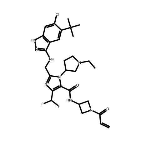 C=CC(=O)N1CC(NC(=O)c2c(C(F)F)nc(CNc3n[nH]c4cc(Cl)c(C(C)(C)C)cc34)n2C2CCN(CC)C2)C1